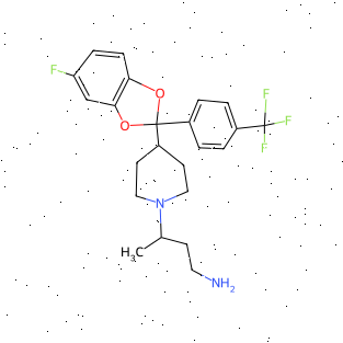 CC(CCN)N1CCC(C2(c3ccc(C(F)(F)F)cc3)Oc3ccc(F)cc3O2)CC1